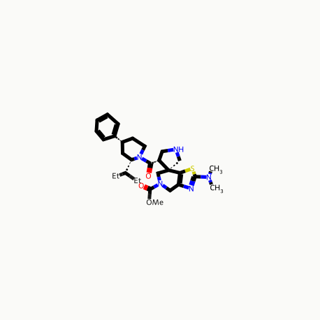 CCC(CC)[C@@H]1C[C@H](c2ccccc2)CCN1C(=O)[C@@H]1CNC[C@]12CN(C(=O)OC)Cc1nc(N(C)C)sc12